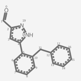 O=Cc1cc(-c2ccccc2Cc2ccccc2)[nH]n1